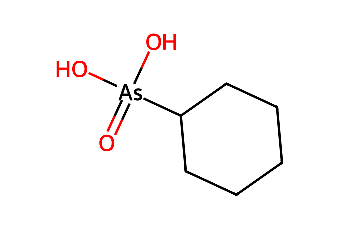 O=[As](O)(O)C1CCCCC1